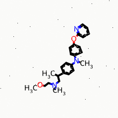 COCCN(C)CC(C)c1ccc(N(C)c2ccc(Oc3ccccn3)cc2)cc1